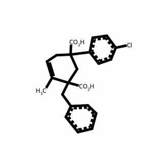 CC1=CCC(C(=O)O)(c2ccc(Cl)cc2)CC1(Cc1ccccc1)C(=O)O